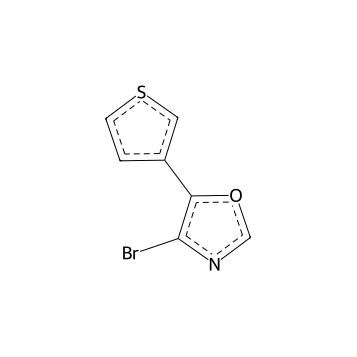 Brc1ncoc1-c1ccsc1